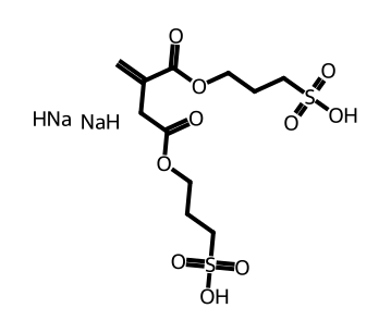 C=C(CC(=O)OCCCS(=O)(=O)O)C(=O)OCCCS(=O)(=O)O.[NaH].[NaH]